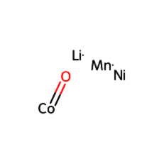 [Li].[Mn].[Ni].[O]=[Co]